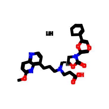 COc1ccc2nccc(CCCN(CCC(=O)O)C[C@@H]3CN(C4=COC=C(C5=CC=CCC5)O4)C(=O)O3)c2n1.[LiH]